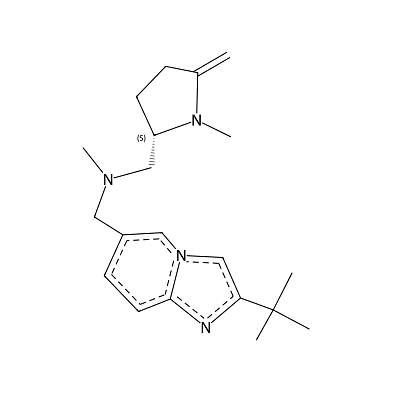 C=C1CC[C@@H](CN(C)Cc2ccc3nc(C(C)(C)C)cn3c2)N1C